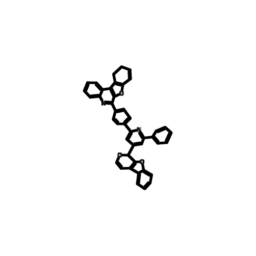 C1=Cc2oc3c(-c4ccc(-c5cc(C6OC=Cc7c6oc6ccccc76)cc(-c6ccccc6)n5)cc4)nc4ccccc4c3c2CC1